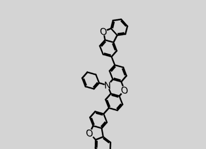 C1=CCCC(N2c3cc(-c4ccc5oc6ccccc6c5c4)ccc3Oc3ccc(-c4ccc5oc6ccccc6c5c4)cc32)=C1